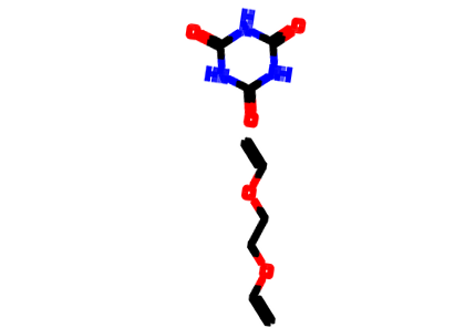 C=COCCOC=C.O=c1[nH]c(=O)[nH]c(=O)[nH]1